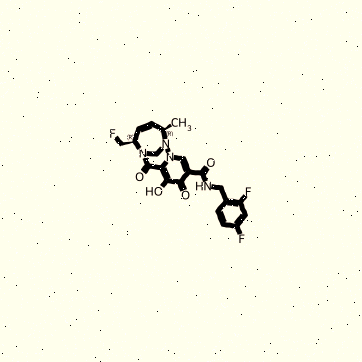 C[C@@H]1C=C[C@H](CF)N2CN1n1cc(C(=O)NCc3ccc(F)cc3F)c(=O)c(O)c1C2=O